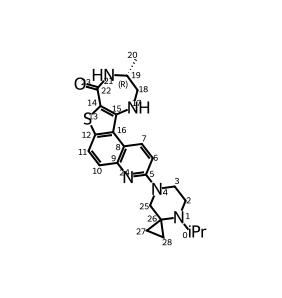 CC(C)N1CCN(c2ccc3c(ccc4sc5c(c43)NC[C@@H](C)NC5=O)n2)CC12CC2